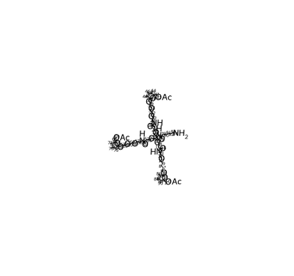 CC(=O)OCC1OC(OCCCCCOCCNC(=O)CCOCC(COCCC(=O)NCCOCCOCCOC2OC(COC(C)=O)C(C)C(C)C2C)(COCCC(=O)NCCOCCOCCOC2OC(COC(C)=O)C(C)C(C)C2C)NC(=O)CCCCCN)C(C)C(C)C1C